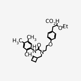 CCOC(Cc1ccc(OCCN(CC2CCC2)C(=O)Nc2cc(C)c(C)cc2C)cc1)C(=O)O